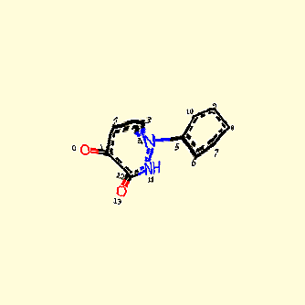 O=c1ccn(-c2ccccc2)[nH]c1=O